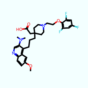 COc1ccc2ncc(N(C)C)c(CCCC3(CC(=O)O)CCN(CCOc4c(F)cc(F)cc4F)CC3)c2c1